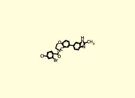 Cc1nc2ccc(-c3ccc4c(c3)CN(C(=O)c3ccc(Cl)cc3Br)CCO4)cc2[nH]1